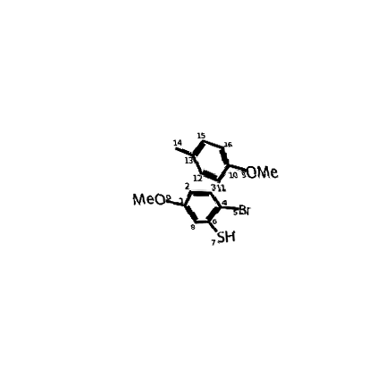 COc1ccc(Br)c(S)c1.COc1ccc(C)cc1